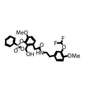 COc1ccc(CCNC(=O)Cc2ccc(OC)c(OS(=O)(=O)c3ccccc3)c2CO)cc1OC(F)F